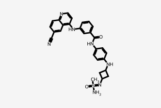 CS(N)(=O)=NC1CC(Nc2ccc(NC(=O)c3cccc(Nc4ccnc5ccc(C#N)cc45)c3)cc2)C1